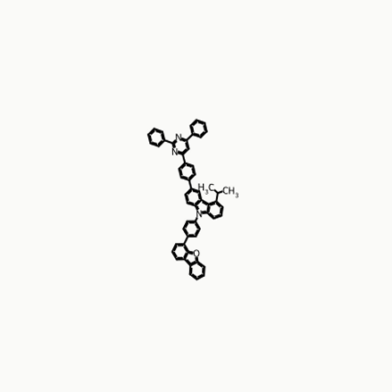 CC(C)c1cccc2c1c1cc(-c3ccc(-c4cc(-c5ccccc5)nc(-c5ccccc5)n4)cc3)ccc1n2-c1ccc(-c2cccc3c2oc2ccccc23)cc1